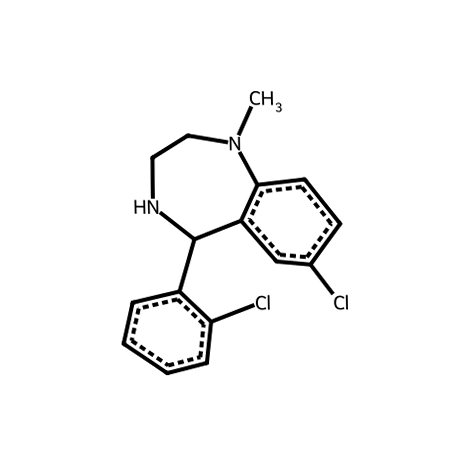 CN1CCNC(c2ccccc2Cl)c2cc(Cl)ccc21